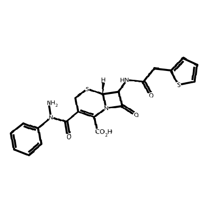 NN(C(=O)C1=C(C(=O)O)N2C(=O)C(NC(=O)Cc3cccs3)[C@H]2SC1)c1ccccc1